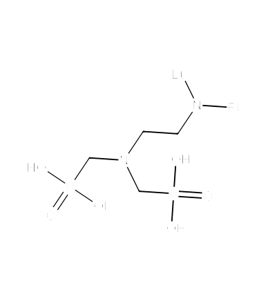 CCN(CC)CCN(CP(=O)(O)O)CP(=O)(O)O